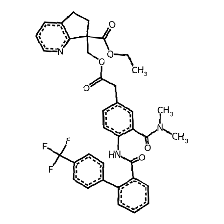 CCOC(=O)C1(COC(=O)Cc2ccc(NC(=O)c3ccccc3-c3ccc(C(F)(F)F)cc3)c(C(=O)N(C)C)c2)CCc2cccnc21